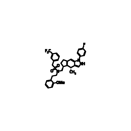 COc1ccccc1CCN(C[C@H]1CCC2=C1[C@@H](C)C1=CNN(c3ccc(F)cc3)C1=C2)S(=O)(=O)Cc1cccc(C(F)(F)F)c1